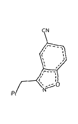 CC(C)Cc1noc2ccc(C#N)cc12